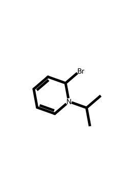 CC(C)N1C=CC=CC1Br